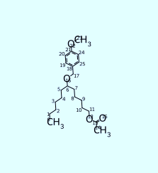 CCCCCCC(CCCCCOC(C)=O)OCc1ccc(OC)cc1